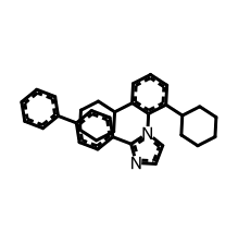 c1ccc(-c2ccc(-c3nccn3-c3c(C4CCCCC4)cccc3C3CCCCC3)cc2)cc1